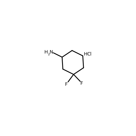 Cl.NC1CCCC(F)(F)C1